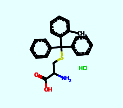 Cc1ccccc1C(SCC(N)C(=O)O)(c1ccccc1)c1ccccc1.Cl